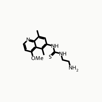 COc1ccnc2c(C)cc(NC(=S)NCCN)c(C)c12